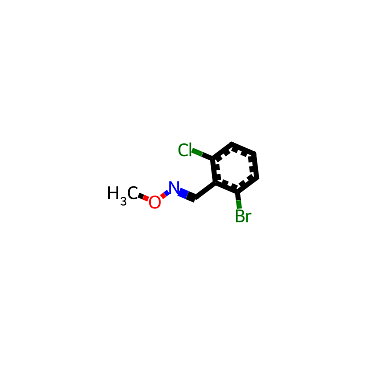 CON=Cc1c(Cl)cccc1Br